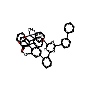 CC1(C)c2ccccc2C2(c3ccccc3Oc3cc(-c4ccccc4-c4nc(-c5cccc(-c6ccccc6)c5)nc(-c5cccc(-c6ccccc6)c5)n4)ccc32)c2ccccc21